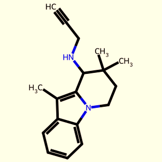 C#CCNC1c2c(C)c3ccccc3n2CCC1(C)C